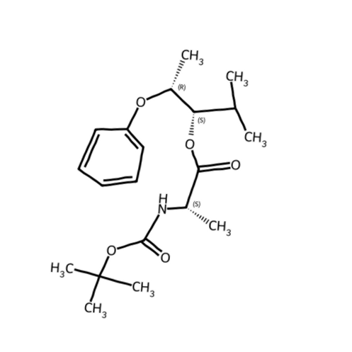 CC(C)[C@H](OC(=O)[C@H](C)NC(=O)OC(C)(C)C)[C@@H](C)Oc1ccccc1